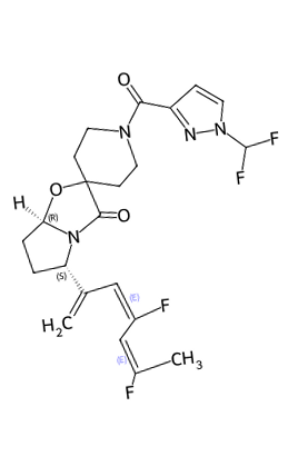 C=C(/C=C(F)\C=C(/C)F)[C@@H]1CC[C@H]2OC3(CCN(C(=O)c4ccn(C(F)F)n4)CC3)C(=O)N21